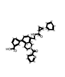 O=C(O)c1cccc(-c2ccc(CNC(=O)[C@H]3C[C@@H]3c3ccccc3)c3c2CCN(C(=O)c2ccccn2)C3)c1